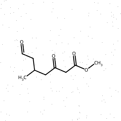 COC(=O)CC(=O)CC(C)CC=O